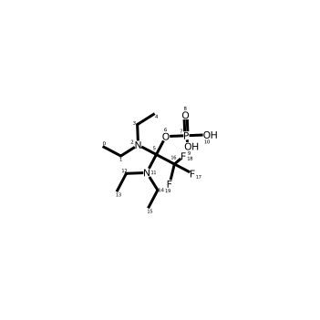 CCN(CC)C(OP(=O)(O)O)(N(CC)CC)C(F)(F)F